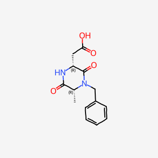 C[C@@H]1C(=O)N[C@H](CC(=O)O)C(=O)N1Cc1ccccc1